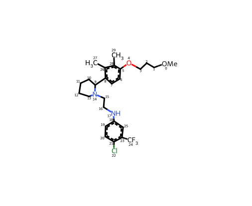 COCCCOc1ccc(C2CCCCN2CCNc2ccc(Cl)c(C(F)(F)F)c2)c(C)c1C